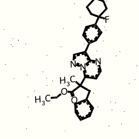 CCOC(=O)C(C)(Cc1ccccc1)c1ccnc2c(-c3ccc(C4(F)CCCCC4)cc3)cnn12